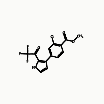 COC(=O)c1ccc(-c2cc[nH]c2C(=O)C(F)(F)F)cc1Cl